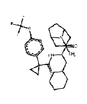 NC1CC2CCC(C1)N2C(=O)C(CC1CCCCC1)NC(=O)C1(c2ccc(OC(F)(F)F)cc2)CC1